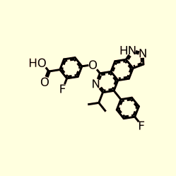 CC(C)c1nc(Oc2ccc(C(=O)O)c(F)c2)c2cc3[nH]ncc3cc2c1-c1ccc(F)cc1